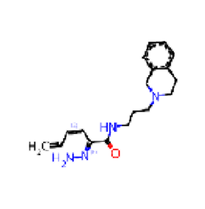 C=C/C=C\C(=N/N)C(=O)NCCCN1CCc2ccccc2C1